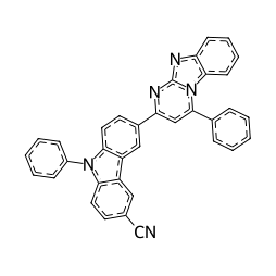 N#Cc1ccc2c(c1)c1cc(-c3cc(-c4ccccc4)n4c(n3)nc3ccccc34)ccc1n2-c1ccccc1